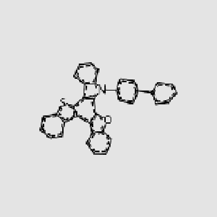 c1ccc(-c2ccc(-n3c4ccccc4c4c5sc6ccccc6c5c5c6ccccc6oc5c43)cc2)cc1